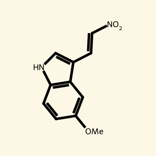 COc1ccc2[nH]cc(C=C[N+](=O)[O-])c2c1